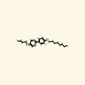 CCCCCCCCOc1ccc(-c2ncc(OCCCC)cn2)cc1